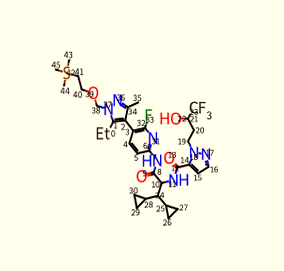 CCc1c(-c2ccc(NC(=O)C(NC(=O)c3ccnn3CCC(O)C(F)(F)F)C(C3CC3)C3CC3)nc2F)c(C)nn1COCCS(C)(C)C